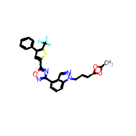 CC1OC(CCCn2ncc3c(-c4noc(-c5cc(-c6ccccc6)c(C(F)(F)F)s5)n4)cccc32)O1